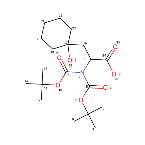 CC(C)(C)OC(=O)N(C(=O)OC(C)(C)C)C(CC1(O)CCCCC1)C(=O)O